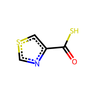 O=C(S)c1cscn1